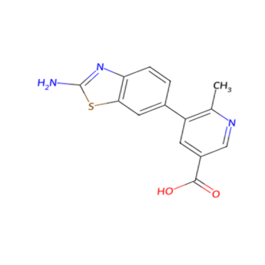 Cc1ncc(C(=O)O)cc1-c1ccc2nc(N)sc2c1